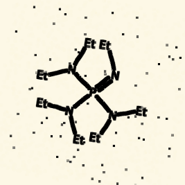 CCN=P(N(CC)CC)(N(CC)CC)N(CC)CC